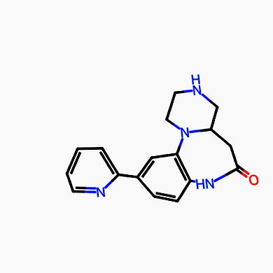 O=C1CC2CNCCN2c2cc(-c3ccccn3)ccc2N1